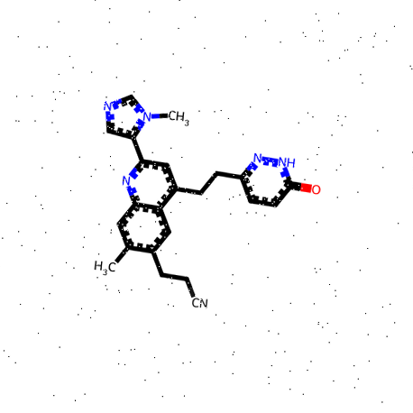 Cc1cc2nc(-c3cncn3C)cc(CCc3ccc(=O)[nH]n3)c2cc1CCC#N